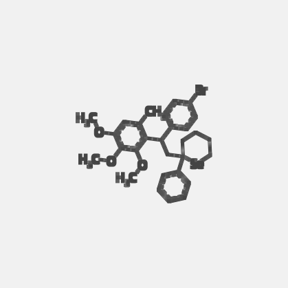 COc1cc(C)c(C(CC2(c3ccccc3)CCCC[Se]2)c2ccc(Br)cc2)c(OC)c1OC